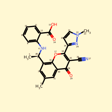 Cc1cc([C@@H](C)Nc2ccccc2C(=O)O)c2oc(-c3ccn(C)n3)c(C#N)c(=O)c2c1